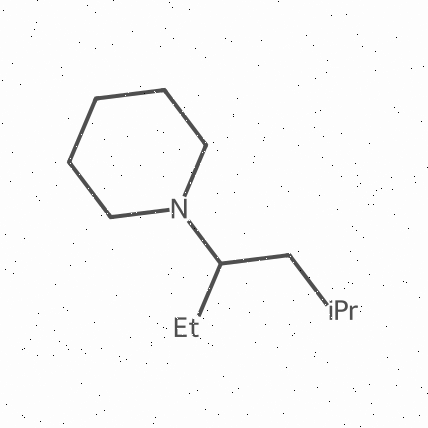 CCC(CC(C)C)N1CCCCC1